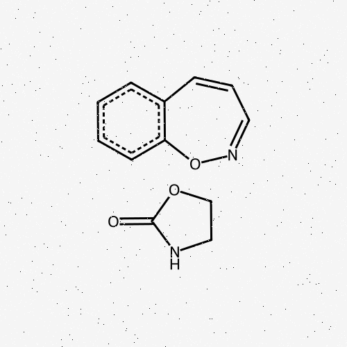 C1=Cc2ccccc2ON=C1.O=C1NCCO1